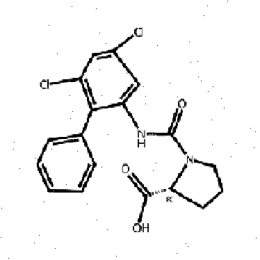 O=C(O)[C@H]1CCCN1C(=O)Nc1cc(Cl)cc(Cl)c1-c1ccccc1